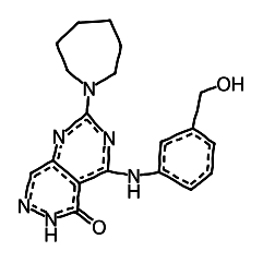 O=c1[nH]ncc2nc(N3CCCCCC3)nc(Nc3cccc(CO)c3)c12